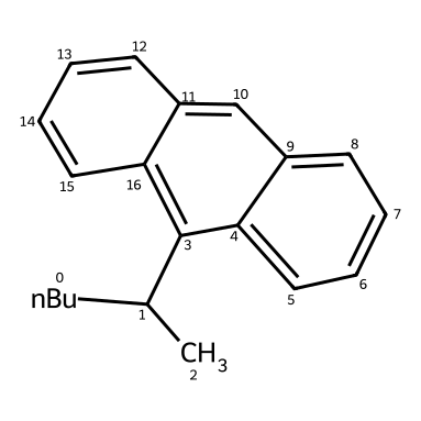 CCCCC(C)c1c2ccccc2cc2ccccc12